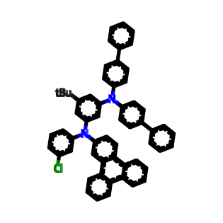 CC(C)(C)c1cc(N(c2ccc(-c3ccccc3)cc2)c2ccc(-c3ccccc3)cc2)cc(N(c2cccc(Cl)c2)c2ccc3c4ccccc4c4ccccc4c3c2)c1